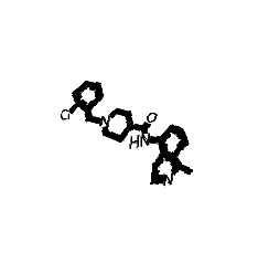 Cc1nccc2c(NC(=O)C3CCN(Cc4ccccc4Cl)CC3)cccc12